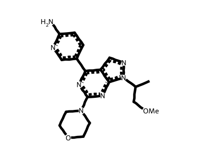 COCC(C)n1ncc2c(-c3ccc(N)nc3)nc(N3CCOCC3)nc21